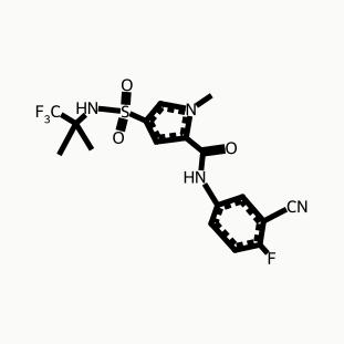 Cn1cc(S(=O)(=O)NC(C)(C)C(F)(F)F)cc1C(=O)Nc1ccc(F)c(C#N)c1